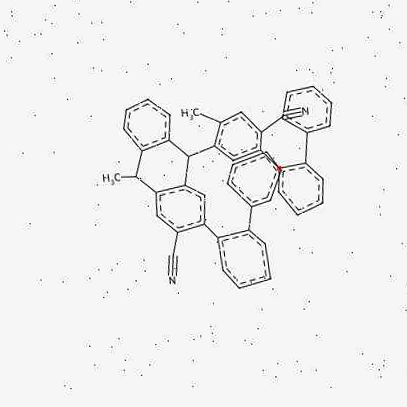 Cc1cc(C#N)c(-c2ccccc2-c2ccccc2)cc1C1c2ccccc2C(C)c2cc(C#N)c(-c3ccccc3-c3ccccc3)cc21